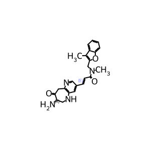 Cc1c(CN(C)C(=O)/C=C/c2cnc3c(c2)NC[C@@H](N)C(=O)C3)oc2ccccc12